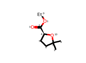 CCOC(=O)[C@@H]1CCC(C)(C)O1